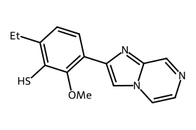 CCc1ccc(-c2cn3ccncc3n2)c(OC)c1S